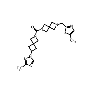 O=C(N1CC2(CC(n3cnc(C(F)(F)F)n3)C2)C1)N1CC2(CN(Cc3ncc(C(F)(F)F)s3)C2)C1